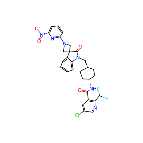 O=C(N[C@H]1CC[C@H](CN2C(=O)C3(CN(c4cccc([N+](=O)[O-])n4)C3)c3ccccc32)CC1)c1cc(Cl)cnc1C(F)F